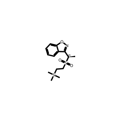 C[C@H](c1noc2ccccc12)S(=O)(=O)CC[Si](C)(C)C